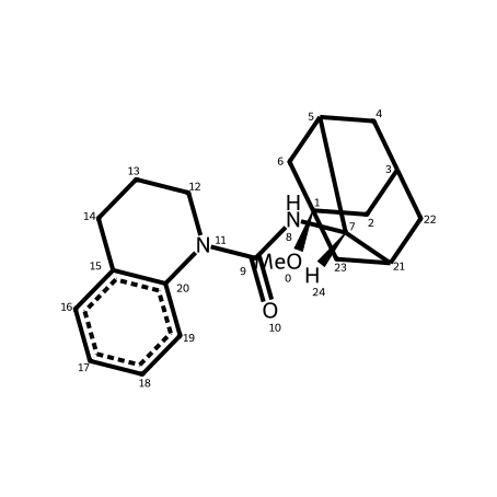 CO[C@]12CC3CC(C1)[C@@H](NC(=O)N1CCCc4ccccc41)C(C3)C2